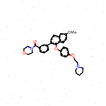 COc1ccc2c(Oc3ccc(OCCN4CCCCC4)cc3)c(-c3cccc(C(=O)N4CCOCC4)c3)ccc2c1